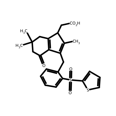 CC1=C(Cc2ccccc2S(=O)(=O)c2cccs2)C2=C(CC(C)(C)CC2=O)C1CC(=O)O